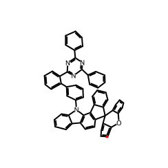 c1ccc(-c2nc(-c3ccccc3)nc(-c3ccccc3-c3cccc(-n4c5ccccc5c5ccc6c(c54)-c4ccccc4C64c5ccccc5Oc5ccccc54)c3)n2)cc1